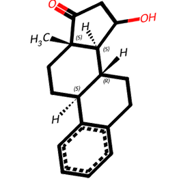 C[C@]12CC[C@@H]3c4ccccc4CC[C@H]3[C@@H]1C(O)CC2=O